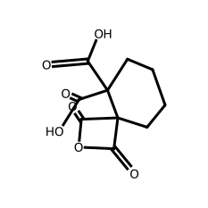 O=C(O)C1(C(=O)O)CCCCC12C(=O)OC2=O